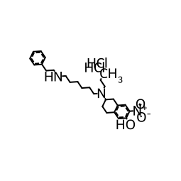 CCCN(CCCCCCNCCc1ccccc1)C1CCc2cc(O)c([N+](=O)[O-])cc2C1.Cl.Cl